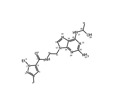 CCn1nc(C)cc1C(=O)NCCn1cnc2c(NC(C)O)nc(N)nc21